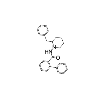 O=C(NN1CCCCC1Cc1ccccc1)c1ccccc1-c1ccccc1